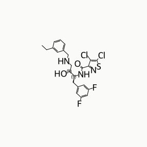 CCc1cccc(CNC[C@@H](O)[C@H](Cc2cc(F)cc(F)c2)NC(=O)c2nsc(Cl)c2Cl)c1